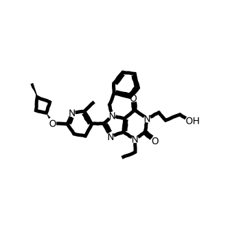 CCn1c(=O)n(CCCO)c(=O)c2c1nc(C1=C(C)N=C(O[C@H]3C[C@H](C)C3)CC1)n2CC1=C=C=CC=C1